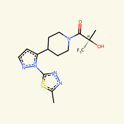 Cc1nnc(-n2nccc2C2CCN(C(=O)[C@@](C)(O)C(F)(F)F)CC2)s1